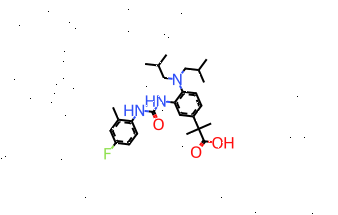 Cc1cc(F)ccc1NC(=O)Nc1cc(C(C)(C)C(=O)O)ccc1N(CC(C)C)CC(C)C